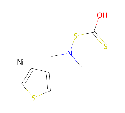 CN(C)SC(O)=S.[Ni].c1ccsc1